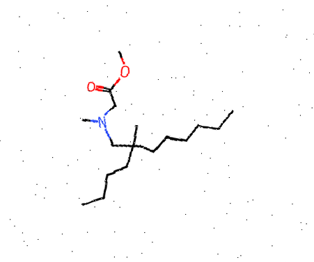 CCCCCCC(C)(CCCC)CN(C)CC(=O)OC